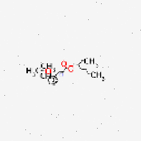 CCCCC(CC)COC(=O)/C=C/c1ccccc1OC(C)(C)C